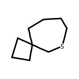 C1CCC2(CCC2)CSC1